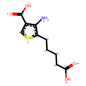 Nc1c(C(=O)O)csc1CCCCC(=O)O